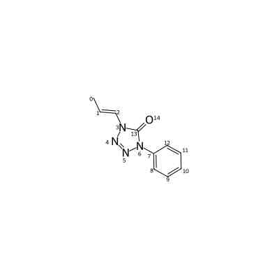 C/C=C/n1nnn(-c2ccccc2)c1=O